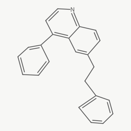 c1ccc(CCc2ccc3nccc(-c4ccccc4)c3c2)cc1